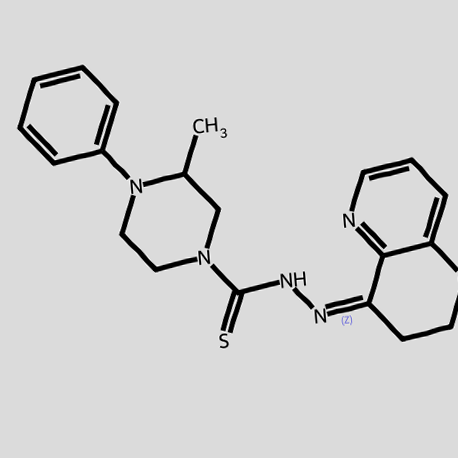 CC1CN(C(=S)N/N=C2/CCOc3cccnc32)CCN1c1ccccc1